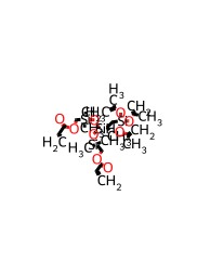 C=CC(=O)OC[Si](C)(C)O[SiH](O[Si](C)(C)COC(=O)C=C)C(C)C[Si](OC(=C)C)(OC(=C)C)OC(=C)C